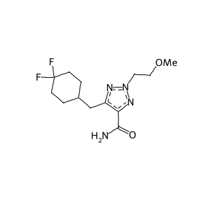 COCCn1nc(CC2CCC(F)(F)CC2)c(C(N)=O)n1